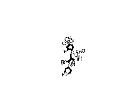 CC(C)OC=O.CS(=O)(=O)c1ccc(OCc2cnn(C3CCNCC3)c2Br)c(F)c1